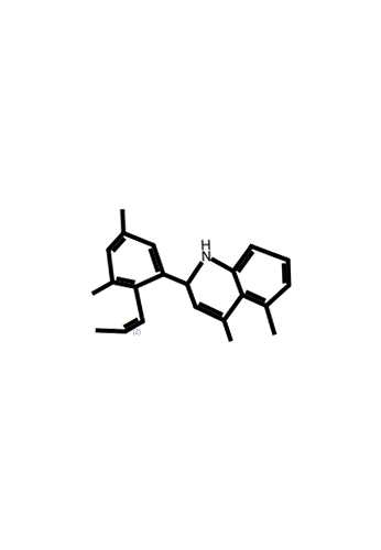 C/C=C\c1c(C)cc(C)cc1C1C=C(C)c2c(C)cccc2N1